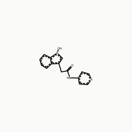 O=C(Cc1cn(O)c2ccccc12)Nc1ccncc1